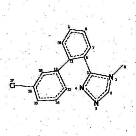 Cn1cnnc1-c1ccccc1-c1cccc(Cl)c1